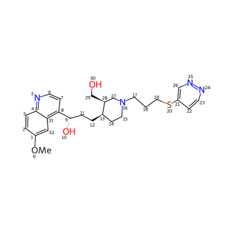 COc1ccc2nccc([C@@H](O)CC[C@@H]3CCN(CCCSc4ccnnc4)C[C@@H]3CO)c2c1